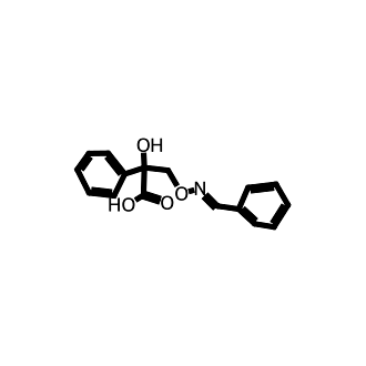 O=C(O)C(O)(CON=Cc1ccccc1)c1ccccc1